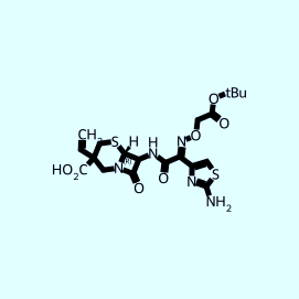 C=CC1(C(=O)O)CS[C@@H]2C(NC(=O)C(=NOCC(=O)OC(C)(C)C)c3csc(N)n3)C(=O)N2C1